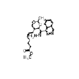 COC(=O)CCC/C=C\C[C@H]1CO[C@@H](C)O[C@H]1/C(=N\N)c1nncc2ccccc12